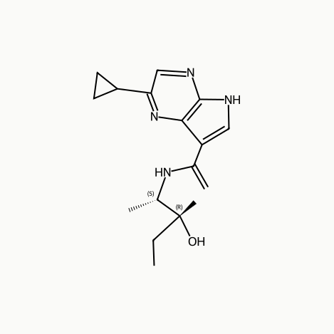 C=C(N[C@@H](C)[C@](C)(O)CC)c1c[nH]c2ncc(C3CC3)nc12